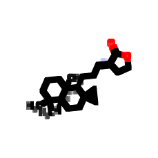 CC1(C)CCC[C@@]2(C)[C@H]1CCC1(CC1)[C@@H]2CC/C=C1\CCOC1=O